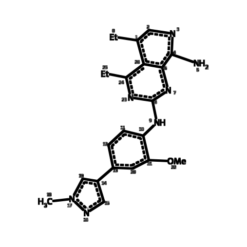 CCc1cnc(N)c2nc(Nc3ccc(-c4cnn(C)c4)cc3OC)nc(CC)c12